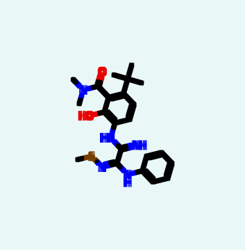 CS/N=C(/Nc1ccccc1)C(=N)Nc1ccc(C(C)(C)C)c(C(=O)N(C)C)c1O